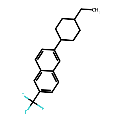 CCC1CCC(c2ccc3cc(C(F)(F)F)ccc3c2)CC1